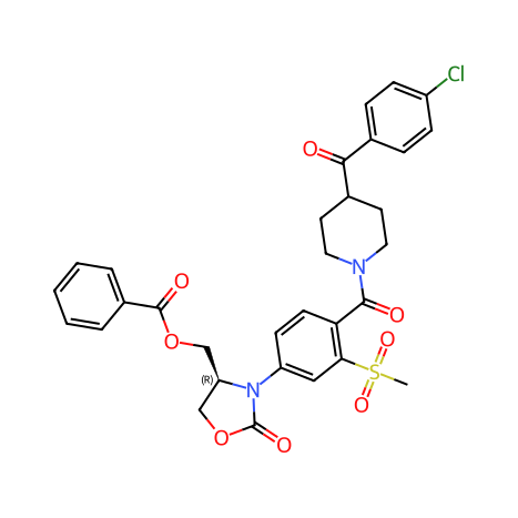 CS(=O)(=O)c1cc(N2C(=O)OC[C@H]2COC(=O)c2ccccc2)ccc1C(=O)N1CCC(C(=O)c2ccc(Cl)cc2)CC1